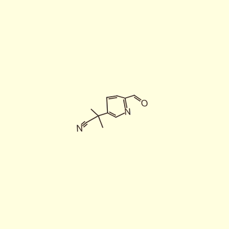 CC(C)(C#N)c1ccc(C=O)nc1